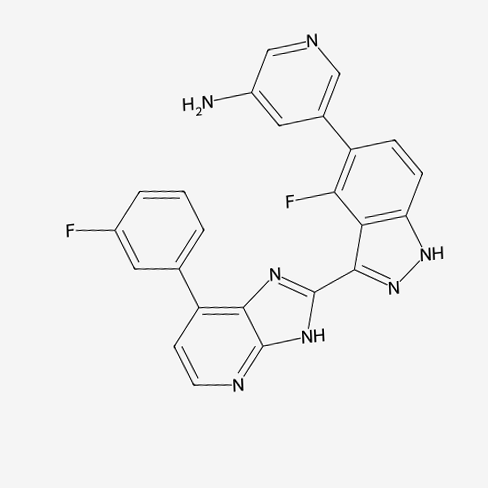 Nc1cncc(-c2ccc3[nH]nc(-c4nc5c(-c6cccc(F)c6)ccnc5[nH]4)c3c2F)c1